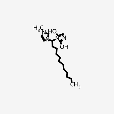 CCCCCCCCCCCC(N1C=CN(C)C1)n1c(O)cnc1O